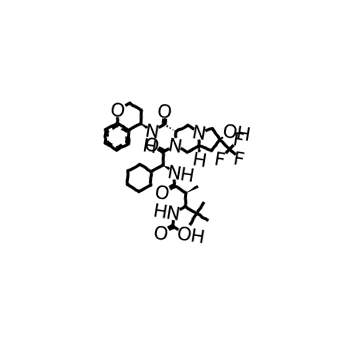 C[C@H](C(=O)N[C@H](C(=O)N1C[C@H]2C[C@](O)(C(F)(F)F)CN2C[C@H]1C(=O)N[C@@H]1CCOc2ccccc21)C1CCCCC1)C(NC(=O)O)C(C)(C)C